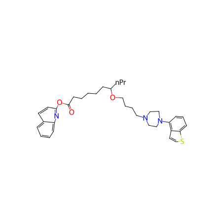 CCCC(CCCCCC(=O)Oc1ccc2ccccc2n1)OCCCCN1CCN(c2cccc3sccc23)CC1